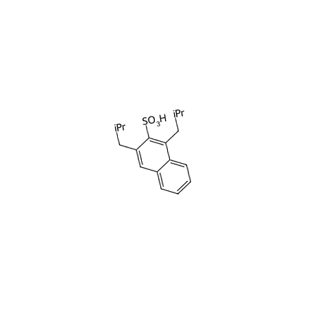 CC(C)Cc1cc2ccccc2c(CC(C)C)c1S(=O)(=O)O